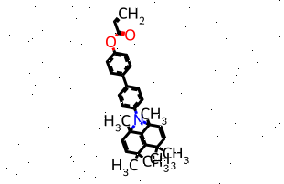 C=CC(=O)Oc1ccc(-c2ccc(N3C4(C)C=CC(C)(C)C5=C4C3(C)C=CC5(C)C)cc2)cc1